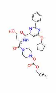 CCOC(=O)ON1CCN(C(=O)[C@H](CCO)NC(=O)c2cc(OC3CCCC3)nc(-c3ccccc3)n2)CC1